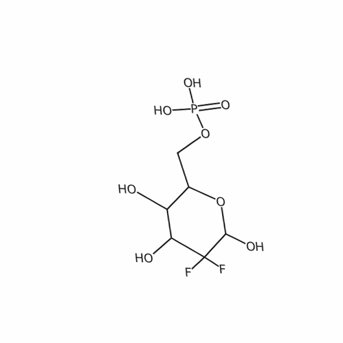 O=P(O)(O)OCC1OC(O)C(F)(F)C(O)C1O